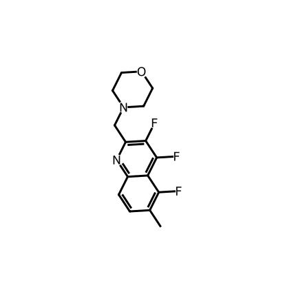 Cc1ccc2nc(CN3CCOCC3)c(F)c(F)c2c1F